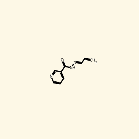 C=CC=NNC(=O)c1cccnc1